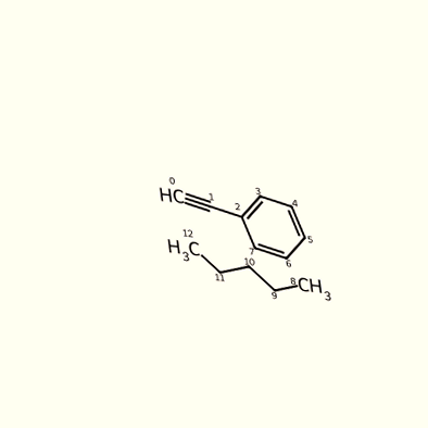 C#Cc1ccccc1.CCCCC